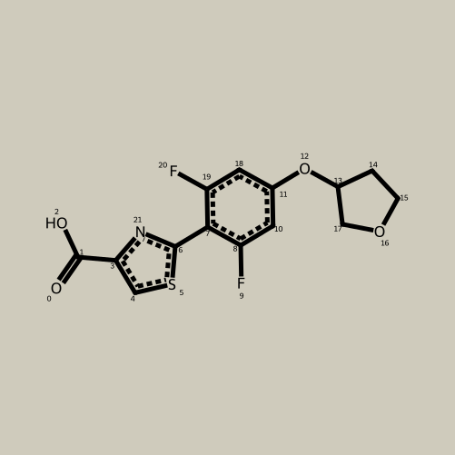 O=C(O)c1csc(-c2c(F)cc(OC3CCOC3)cc2F)n1